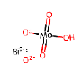 [Bi+3].[O-2].[O]=[Mo](=[O])([O-])[OH]